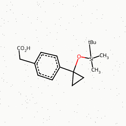 CC(C)(C)[Si](C)(C)OC1(c2ccc(CC(=O)O)cc2)CC1